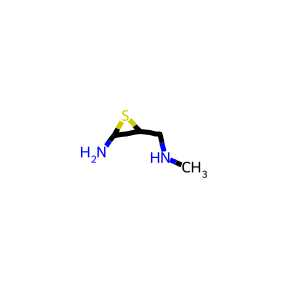 CNCC1SC1N